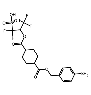 Bc1ccc(COC(=O)C2CCC(C(=O)OC(C(F)(F)F)C(F)(F)S(=O)(=O)O)CC2)cc1